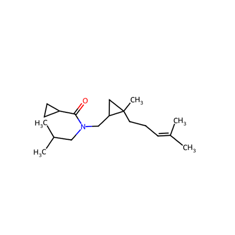 CC(C)=CCCC1(C)CC1CN(CC(C)C)C(=O)C1CC1